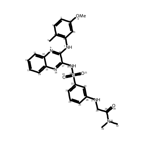 COc1ccc(C)c(Nc2nc3ccccc3nc2NS(=O)(=O)c2cccc(NCC(=O)N(C)C)c2)c1